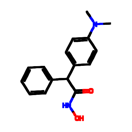 CN(C)c1ccc(C(C(=O)NO)c2ccccc2)cc1